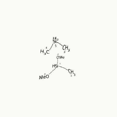 CO[SiH](C)OC.C[SiH2]C